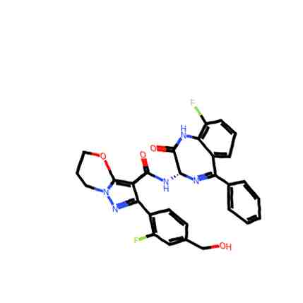 O=C(N[C@H]1N=C(c2ccccc2)c2cccc(F)c2NC1=O)c1c(-c2ccc(CO)cc2F)nn2c1OCCC2